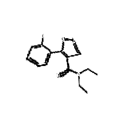 CCN(CC)C(=O)c1cnoc1-c1ccccc1Cl